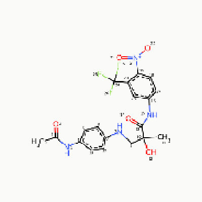 CC(=O)Nc1ccc(NCC(C)(O)C(=O)Nc2ccc([N+](=O)[O-])c(C(F)(F)F)c2)cc1